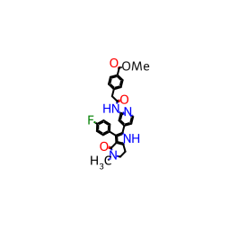 COC(=O)c1ccc(CC(=O)Nc2cc(-c3[nH]c4c(c3-c3ccc(F)cc3)C(=O)N(C)CC4)ccn2)cc1